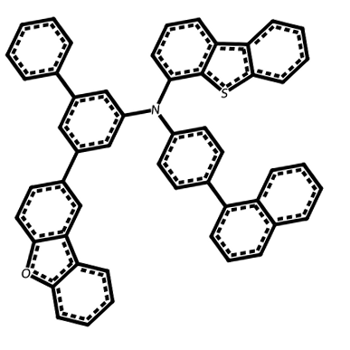 c1ccc(-c2cc(-c3ccc4oc5ccccc5c4c3)cc(N(c3ccc(-c4cccc5ccccc45)cc3)c3cccc4c3sc3ccccc34)c2)cc1